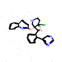 O=C(c1ccccc1-c1cncnc1)[C@@]1(Oc2ccc3ccccc3n2)CNCCC1(F)F